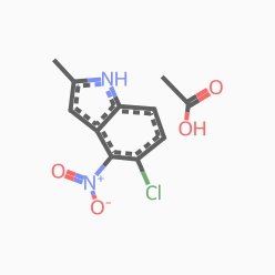 CC(=O)O.Cc1cc2c([N+](=O)[O-])c(Cl)ccc2[nH]1